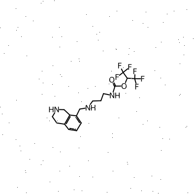 O=C(NCCCNCc1cccc2c1CNCC2)OC(C(F)(F)F)C(F)(F)F